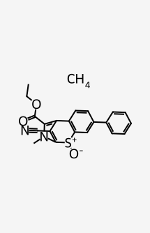 C.CCOC(=O)c1c2c(C#N)c(n1C)[S+]([O-])c1cc(-c3ccccc3)ccc1-2